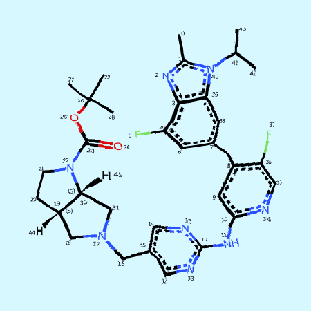 Cc1nc2c(F)cc(-c3cc(Nc4ncc(CN5C[C@@H]6CCN(C(=O)OC(C)(C)C)[C@@H]6C5)cn4)ncc3F)cc2n1C(C)C